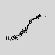 C=COC(=O)CCCOc1ccc(SC(=O)c2ccc(C#Cc3ccc(OCCCCOC(=O)C=C)cc3)cc2)cc1